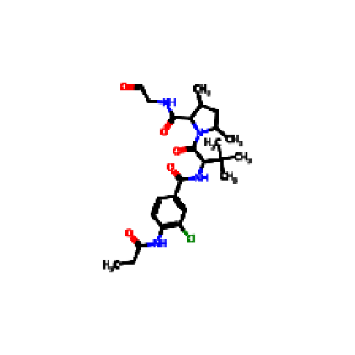 CCC(=O)Nc1ccc(C(=O)NC(C(=O)N2C(C)CC(C)C2C(=O)NCC=O)C(C)(C)C)cc1Cl